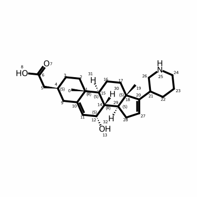 C[C@]12CC[C@H](CC(=O)O)CC1=C[C@@H](O)[C@@H]1[C@@H]2CC[C@]2(C)C(C3CCCNC3)=CC[C@@H]12